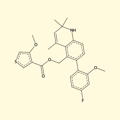 COc1cscc1C(=O)OCc1c(-c2ccc(F)cc2OC)ccc2c1C(C)=CC(C)(C)N2